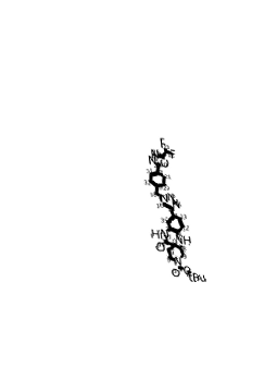 CC(C)(C)OC(=O)N1CCC2(CC1)Nc1ccc(-c3cn(Cc4ccc(-c5nnc(C(F)F)o5)cc4)nn3)cc1NC2=O